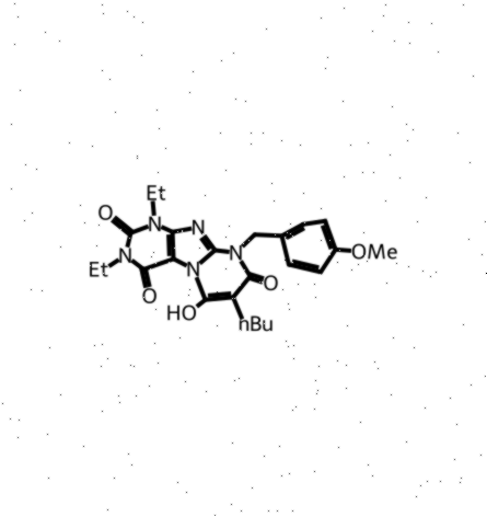 CCCCc1c(O)n2c3c(=O)n(CC)c(=O)n(CC)c3nc2n(Cc2ccc(OC)cc2)c1=O